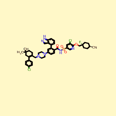 CC1(C)CCC(CN2CCN(c3ccc(C(=O)NS(=O)(=O)c4cnc(OC[C@]5(F)CC[C@H](C#N)CC5)c(Cl)c4)c(-c4cccc5[nH]ncc45)c3)CC2)=C(c2ccc(Cl)cc2)C1